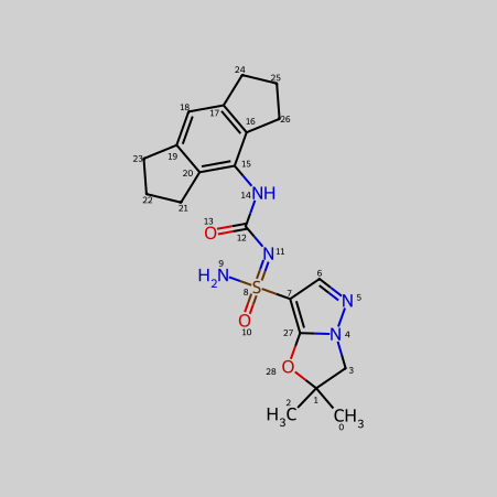 CC1(C)Cn2ncc(S(N)(=O)=NC(=O)Nc3c4c(cc5c3CCC5)CCC4)c2O1